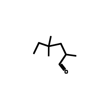 CCC(C)(C)CC(C)C=O